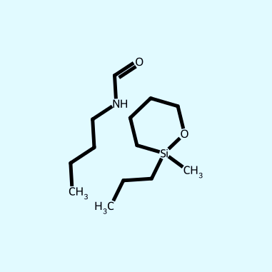 CCCCNC=O.CCC[Si]1(C)CCCCO1